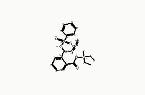 CC[Si](C)(CC)OC(=O)c1ccccc1C(N=[N+]=[N-])OS(=O)(=O)c1ccccc1